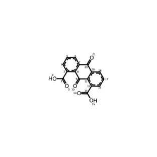 O=C(O)c1cccc2c1C(=O)c1c(C(=O)O)cccc1C2=O